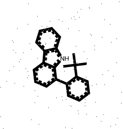 CC(C)(C)c1ccccc1-c1cccc2c1[nH]c1ccccc12